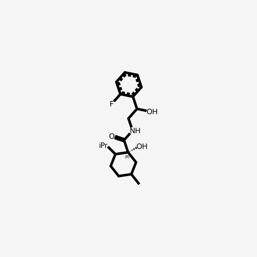 CC1CCC(C(C)C)[C@@](O)(C(=O)NCC(O)c2ccccc2F)C1